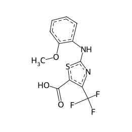 COc1ccccc1Nc1nc(C(F)(F)F)c(C(=O)O)s1